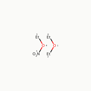 CCOCC.CCO[N+](=O)[O-]